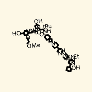 C#Cc1ccc(CNC(=O)[C@@H]2C[C@@H](O)CN2C(=O)[C@@H](NC(=O)[C@H]2CCC3(CC2)C[C@H](N2CCC(c4cnc(N5CCN(c6cc(-c7ccccc7O)nnc6NCC)CC5)nc4)CC2)C3)C(C)(C)C)c(OCCCOC)c1